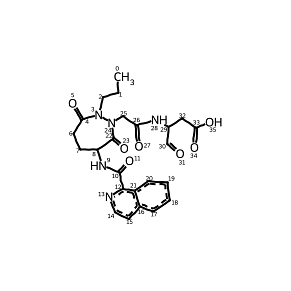 CCCN1C(=O)CCC(NC(=O)c2nccc3ccccc23)C(=O)N1CC(=O)NC(C=O)CC(=O)O